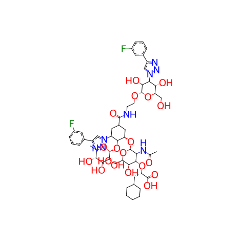 CC(=O)NC1C(O[C@@H](CC2CCCCC2)C(=O)O)[C@@H](O)C(CO)O[C@H]1O[C@@H]1CC(C(=O)NCCO[C@H]2OC(CO)[C@@H](O)C(n3cc(-c4cccc(F)c4)nn3)C2O)CC(n2cc(-c3cccc(F)c3)nn2)C1O[C@@H]1OC(C)[C@@H](O)C(O)C1O